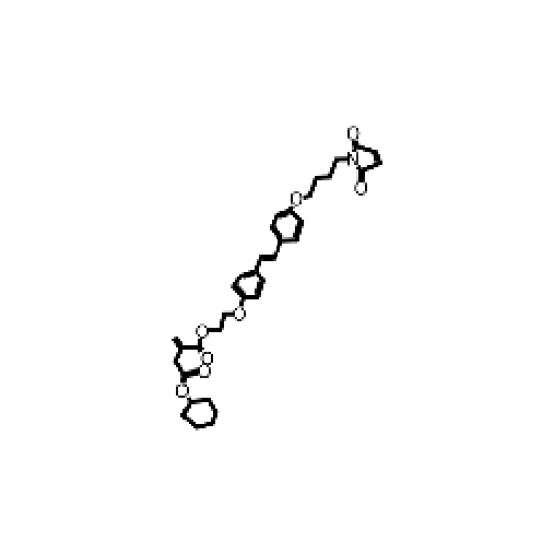 C=C(CC(=O)OC1CCCCC1)C(=O)OCCOc1ccc(/C=C/c2ccc(OCCCCN3C(=O)C=CC3=O)cc2)cc1